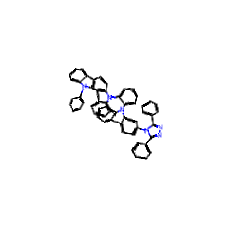 c1ccc(-c2nnc(-c3ccccc3)n2-c2ccc3c4ccccc4n(-c4ccccc4-n4c5ccccc5c5c4ccc4c6ccccc6n(-c6ccccc6)c45)c3c2)cc1